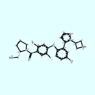 O=C(c1cc(F)c(Oc2ccc(Cl)cc2-c2ccnn2C2CNC2)cc1F)N1CCC[C@H]1CO